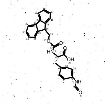 O=CNc1ccc(C[C@H](NC(=O)OCC2c3ccccc3-c3ccccc32)C(=O)O)cc1